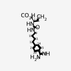 C=C[C@H](CC(=O)O)NC(=O)NCCCCc1ccc(C(=N)N)cc1